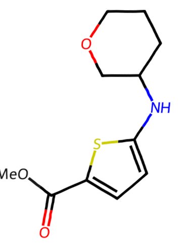 COC(=O)c1ccc(NC2CCCOC2)s1